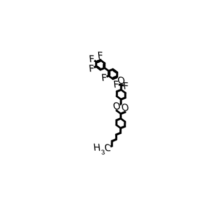 CCCCCCC1CCC(C2COC(C3CCC(C(F)(F)Oc4ccc(-c5cc(F)c(F)c(F)c5)c(F)c4)CC3)OC2)CC1